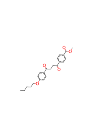 CCCCCOc1ccc(C(=O)CCC(=O)c2ccc(C(=O)OC)cc2)cc1